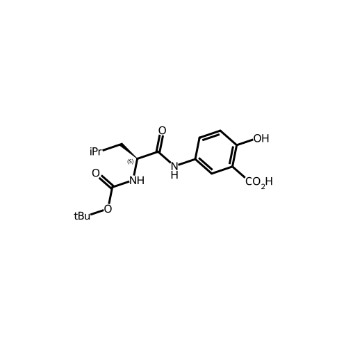 CC(C)C[C@H](NC(=O)OC(C)(C)C)C(=O)Nc1ccc(O)c(C(=O)O)c1